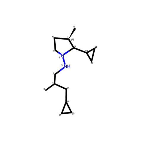 CC(CNN1CC[C@@H](C)C1C1CC1)CC1CC1